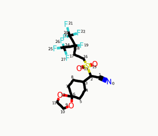 N#CC(C1CCC2(CC1)OCCO2)S(=O)(=O)CCC(F)(C(F)(F)F)C(F)(F)F